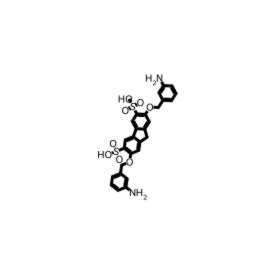 Nc1cccc(COc2cc3c(cc2S(=O)(=O)O)-c2cc(S(=O)(=O)O)c(OCc4cccc(N)c4)cc2C3)c1